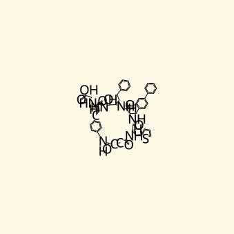 O=C(O)CNC(=O)[C@@H]1Cc2ccc(cc2)NC(=O)CCC(=O)N[C@H](Cc2cccs2)C(=O)N[C@@H](Cc2ccc(-c3ccccc3)cc2)C(=O)N[C@H](CCc2ccccc2)C(=O)N1